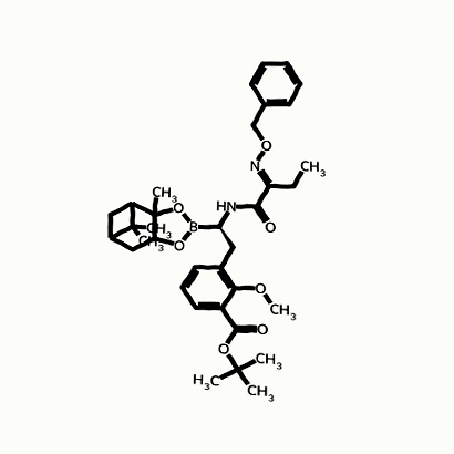 CCC(=NOCc1ccccc1)C(=O)N[C@@H](Cc1cccc(C(=O)OC(C)(C)C)c1OC)B1OC2CC3CC(C3(C)C)C2(C)O1